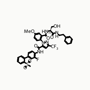 COc1ccc(-n2nc(C(F)(F)F)cc2C(=O)Nc2ccc(-c3ccccc3S(C)(=O)=O)cc2F)c(C(=O)N[C@@H](CO)C(=O)NCCc2ccccc2)c1